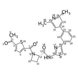 CC(=O)c1ccc(C(=O)N2CC[C@H]2C(=O)Nc2nc(-c3cccc(-c4cc(C)nc(C)c4)c3)cs2)s1